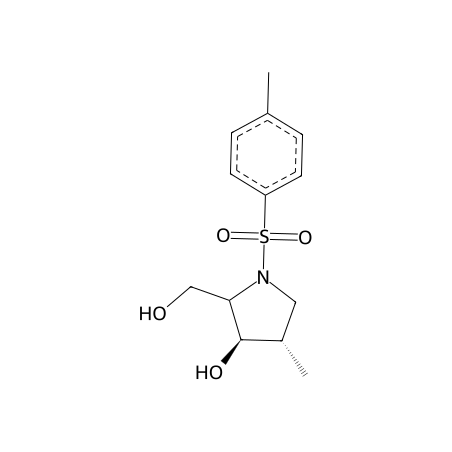 Cc1ccc(S(=O)(=O)N2C[C@H](C)[C@@H](O)C2CO)cc1